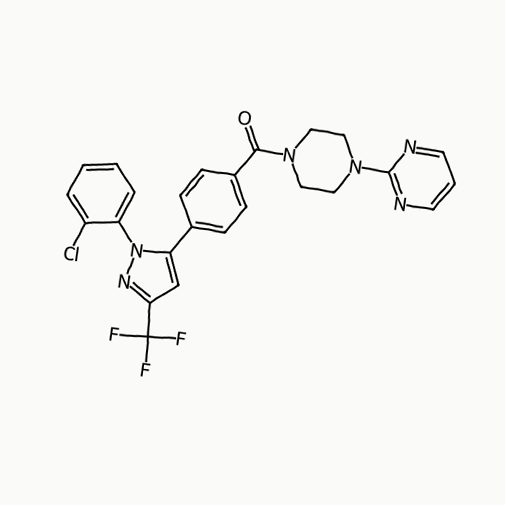 O=C(c1ccc(-c2cc(C(F)(F)F)nn2-c2ccccc2Cl)cc1)N1CCN(c2ncccn2)CC1